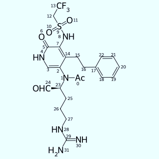 CC(=O)N(c1c[nH]c(=O)c(NS(=O)(=O)CC(F)(F)F)c1CCc1ccccc1)[C@H](C=O)CCCNC(=N)N